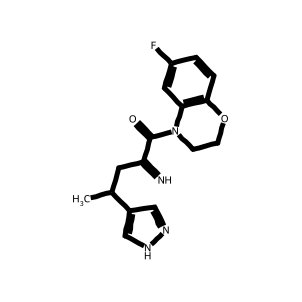 CC(CC(=N)C(=O)N1CCOc2ccc(F)cc21)c1cn[nH]c1